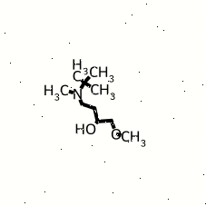 COCC(O)CCN(C)C(C)(C)C